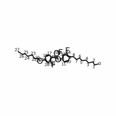 CCCCCCCCCc1ccc(OC(=O)c2ccc(OCCCCCCC)cc2F)c(F)c1F